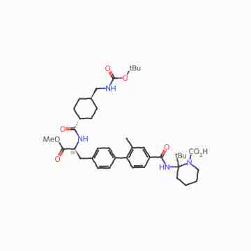 COC(=O)[C@H](Cc1ccc(-c2ccc(C(=O)NC3(C(C)(C)C)CCCCN3C(=O)O)cc2C)cc1)NC(=O)[C@H]1CC[C@H](CNC(=O)OC(C)(C)C)CC1